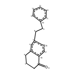 O=C1CCCc2cc(CCc3ccccc3)ncc21